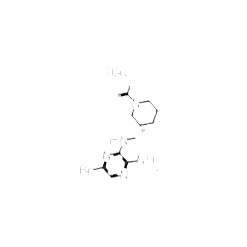 CC(C)(C)OC(=O)N1CCC[C@H](CNc2nc(Br)cnc2N)C1